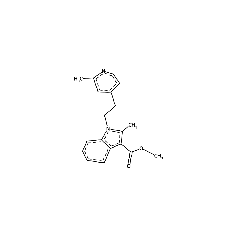 COC(=O)c1c(C)n(CCc2ccnc(C)c2)c2ccccc12